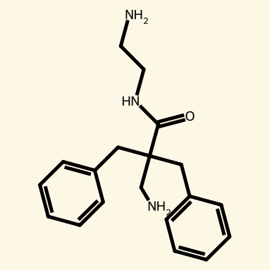 NCCNC(=O)C(CN)(Cc1ccccc1)Cc1ccccc1